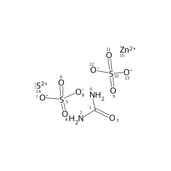 NC(N)=O.O=S(=O)([O-])[O-].O=S(=O)([O-])[O-].[S+2].[Zn+2]